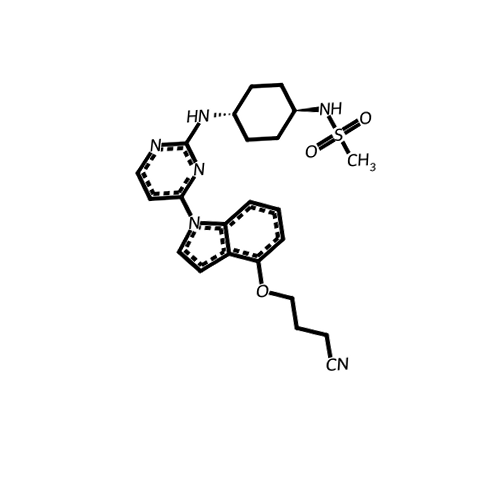 CS(=O)(=O)N[C@H]1CC[C@H](Nc2nccc(-n3ccc4c(OCCCC#N)cccc43)n2)CC1